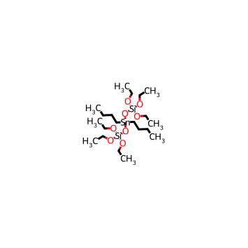 CCC[CH2][Sn]([CH2]CCC)([O][Si](OCC)(OCC)OCC)[O][Si](OCC)(OCC)OCC